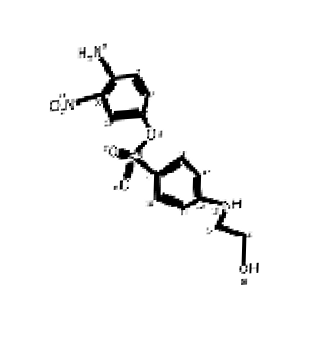 Nc1ccc(OS(=O)(=O)c2ccc(NCCO)cc2)cc1[N+](=O)[O-]